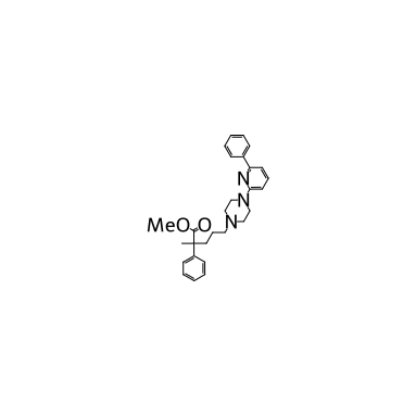 COC(=O)C(C)(CCCN1CCN(c2cccc(-c3ccccc3)n2)CC1)c1ccccc1